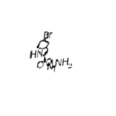 C/C(N)=N/OC(=O)c1cc2cc(Br)ccc2[nH]1